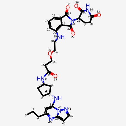 CCCc1cc(N[C@@H]2CCC(NC(=O)CCOCCNc3cccc4c3C(=O)N(C3CCC(=O)NC3=O)C4=O)C2)n2nccc2n1